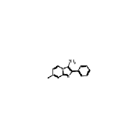 Cc1ccn2c(N)c(-c3ccccc3)nc2c1